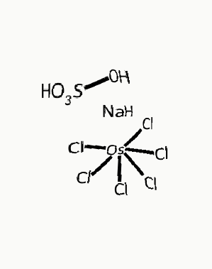 O=S(=O)(O)O.[Cl][Os]([Cl])([Cl])([Cl])([Cl])[Cl].[NaH]